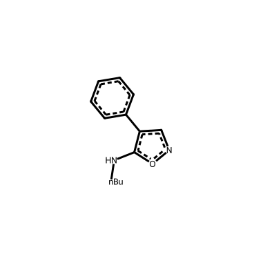 CCCCNc1oncc1-c1ccccc1